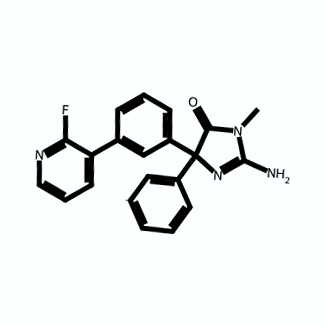 CN1C(=O)C(c2c[c]ccc2)(c2cccc(-c3cccnc3F)c2)N=C1N